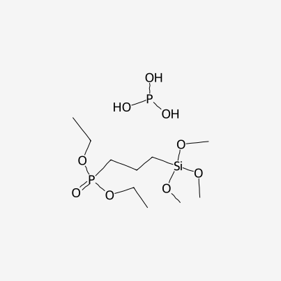 CCOP(=O)(CCC[Si](OC)(OC)OC)OCC.OP(O)O